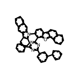 C1=Cc2c(n(-c3ccc4c(oc5c6ccccc6ccc45)c3-c3nc(-c4ccccc4)nc(-c4cccc(-c5ccccc5)c4)n3)c3cc4ccccc4cc23)CC1